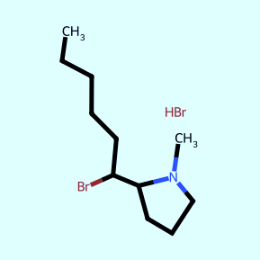 Br.CCCCCC(Br)C1CCCN1C